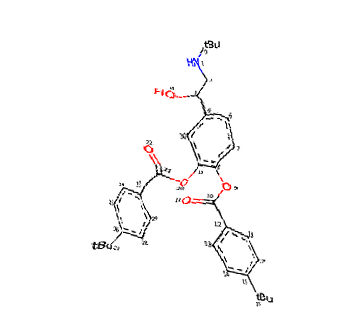 CC(C)(C)NCC(O)c1ccc(OC(=O)c2ccc(C(C)(C)C)cc2)c(OC(=O)c2ccc(C(C)(C)C)cc2)c1